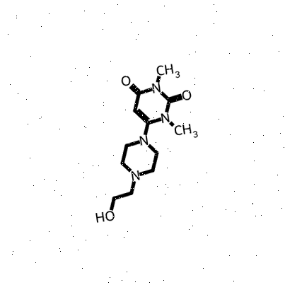 Cn1c(N2CCN(CCO)CC2)cc(=O)n(C)c1=O